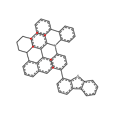 c1ccc(-c2ccccc2N(c2ccc(-c3cccc4c3sc3ccccc34)cc2)c2ccccc2-c2cccc3cccc(C4CCCCC4)c23)cc1